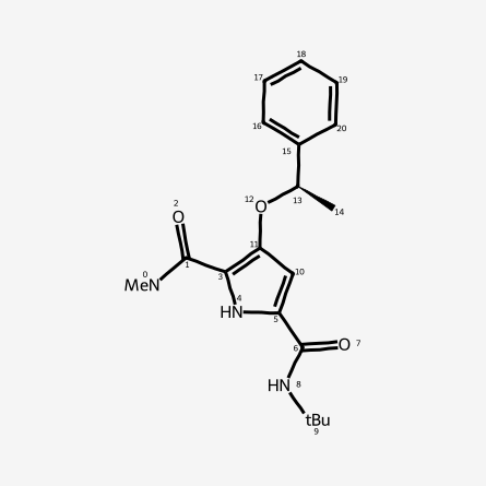 CNC(=O)c1[nH]c(C(=O)NC(C)(C)C)cc1O[C@H](C)c1ccccc1